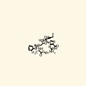 CC(C)OC(=O)[C@H](C)NP(=O)(OC[C@H](O)O[C@@H](n1cnc2c(=O)[nH]c(N)nc21)C(C)(O)C#CCF)Oc1ccccc1